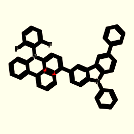 Fc1cccc(F)c1N(c1ccc(-c2ccc3c(c2)c2cc(-c4ccccc4)ccc2n3-c2ccccc2)cc1)c1ccccc1-c1ccccc1